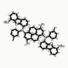 Cc1cccc(N(c2cc(C(C)C)c3ccc4c(N(c5cccc(C)c5)c5cccc6c5oc5c(C(C)(C)C)cccc56)cc(C(C)C)c5ccc2c3c54)c2cccc3c2oc2c(C(C)(C)C)cccc23)c1